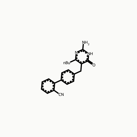 CCCCc1nc(N)[nH]c(=O)c1Cc1ccc(-c2ccccc2C#N)cc1